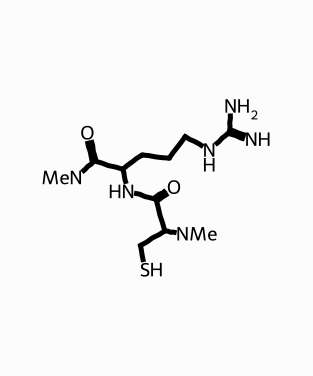 CNC(=O)C(CCCNC(=N)N)NC(=O)C(CS)NC